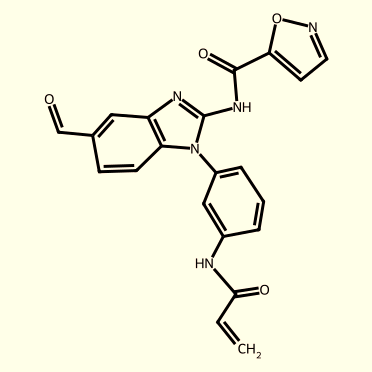 C=CC(=O)Nc1cccc(-n2c(NC(=O)c3ccno3)nc3cc(C=O)ccc32)c1